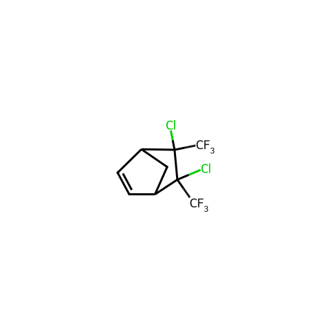 FC(F)(F)C1(Cl)C2C=CC(C2)C1(Cl)C(F)(F)F